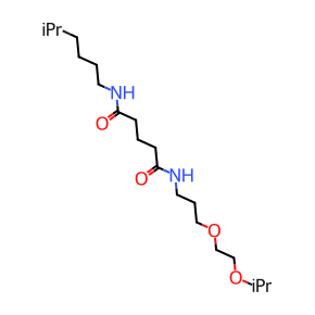 CC(C)CCCCNC(=O)CCCC(=O)NCCCOCCOC(C)C